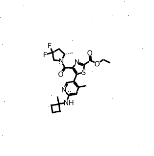 CCOC(=O)c1nc(C(=O)N2CC(F)(F)C[C@@H]2C)c(-c2cnc(NC3(C)CCC3)cc2C)s1